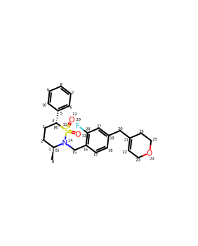 C[C@H]1CC[C@H](c2ccccc2)S(=O)(=O)N1Cc1ccc(CC2=CCOCC2)cc1F